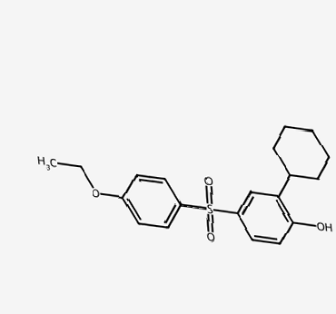 CCOc1ccc(S(=O)(=O)c2ccc(O)c(C3CCCCC3)c2)cc1